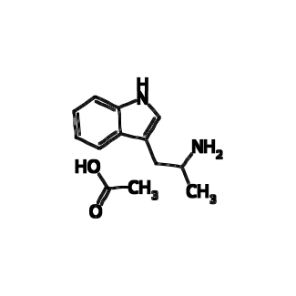 CC(=O)O.CC(N)Cc1c[nH]c2ccccc12